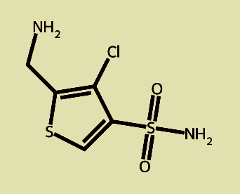 NCc1scc(S(N)(=O)=O)c1Cl